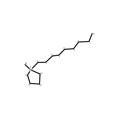 CCCCCCCCC[N+]1(C)CCCC1